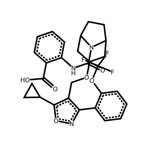 O=C(O)c1ccccc1NC(=O)N1C2CCC1CC(OCc1c(-c3ccccc3OC(F)(F)F)noc1C1CC1)C2